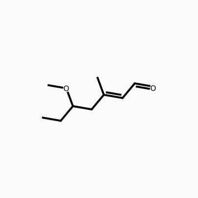 CCC(C/C(C)=C/C=O)OC